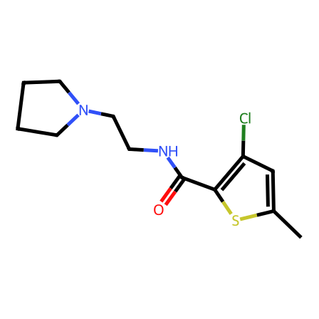 Cc1cc(Cl)c(C(=O)NCCN2CCCC2)s1